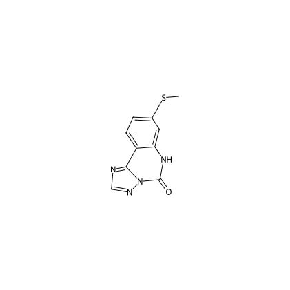 CSc1ccc2c(c1)[nH]c(=O)n1ncnc21